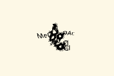 C=CCN1CC[C@@]2(c3cccc(OC(C)=O)c3)C[C@@H](N(C)C(=O)Cc3ccc(Cl)c(Cl)c3)CC[C@]2(OC)C1